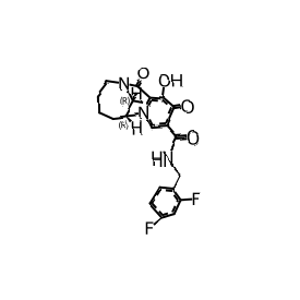 C[C@@H]1[C@H]2CCCCN1C(=O)c1c(O)c(=O)c(C(=O)NCc3ccc(F)cc3F)cn12